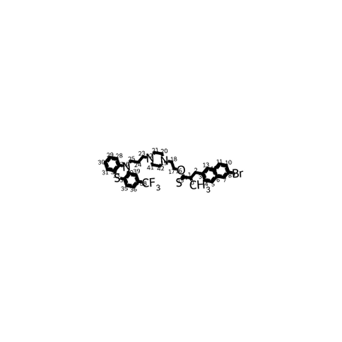 CC(Cc1ccc2cc(Br)ccc2c1)C(=S)OCCN1CCN(CCCN2c3ccccc3Sc3ccc(C(F)(F)F)cc32)CC1